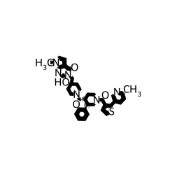 Cc1ccc(-c2sccc2C(=O)N2CC[C@@H](C(=O)N3CCC(O)(Cn4cnc5c(ccn5C)c4=O)CC3)[C@H](c3ccccc3)C2)cn1